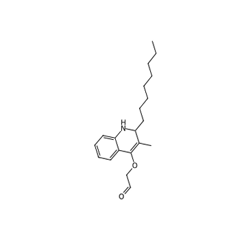 CCCCCCCCC1Nc2ccccc2C(OCC=O)=C1C